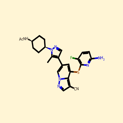 CC(=O)N[C@H]1CC[C@@H](n2ncc(-c3cc(Sc4nc(N)ccc4F)c4c(C#N)cnn4c3)c2C)CC1